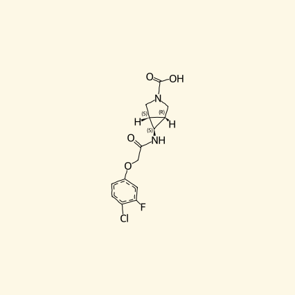 O=C(COc1ccc(Cl)c(F)c1)N[C@H]1[C@@H]2CN(C(=O)O)C[C@@H]21